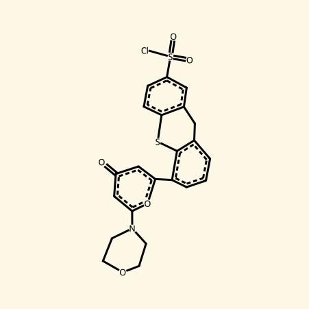 O=c1cc(-c2cccc3c2Sc2ccc(S(=O)(=O)Cl)cc2C3)oc(N2CCOCC2)c1